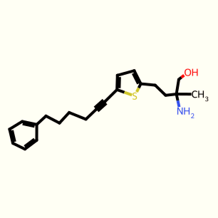 CC(N)(CO)CCc1ccc(C#CCCCCc2ccccc2)s1